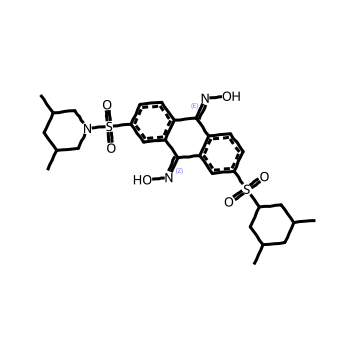 CC1CC(C)CC(S(=O)(=O)c2ccc3c(c2)/C(=N/O)c2cc(S(=O)(=O)N4CC(C)CC(C)C4)ccc2/C3=N/O)C1